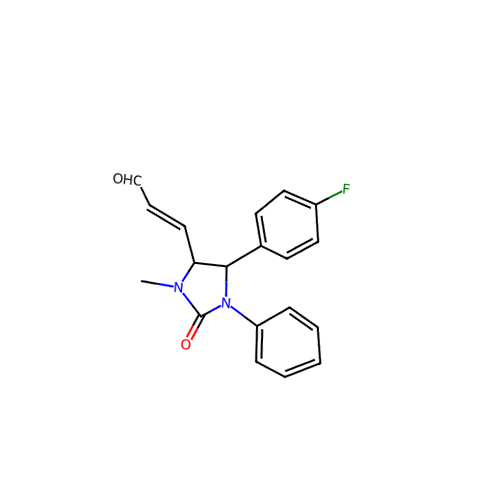 CN1C(=O)N(c2ccccc2)C(c2ccc(F)cc2)C1/C=C/C=O